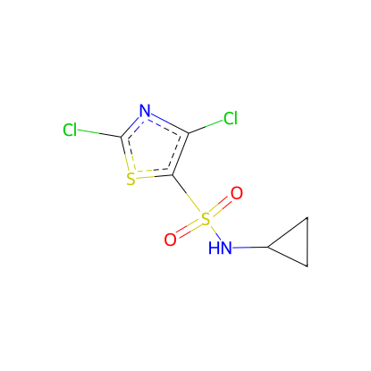 O=S(=O)(NC1CC1)c1sc(Cl)nc1Cl